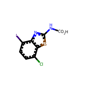 O=C(O)Nc1nc2c(I)ccc(Cl)c2s1